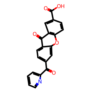 O=C(O)c1ccc2oc3cc(C(=O)c4ccccn4)ccc3c(=O)c2c1